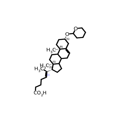 C/C(=C\CCCC(=O)O)[C@H]1CCC2C3CC=C4C[C@@H](OC5CCCCO5)CC[C@]4(C)C3CC[C@@]21C